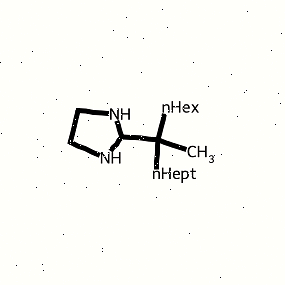 CCCCCCCC(C)(CCCCCC)C1NCCN1